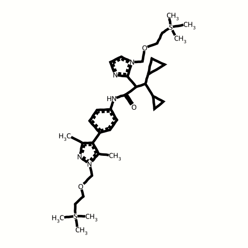 Cc1nn(COCCS(C)(C)C)c(C)c1-c1ccc(NC(=O)C(c2nccn2COCCS(C)(C)C)C(C2CC2)C2CC2)cc1